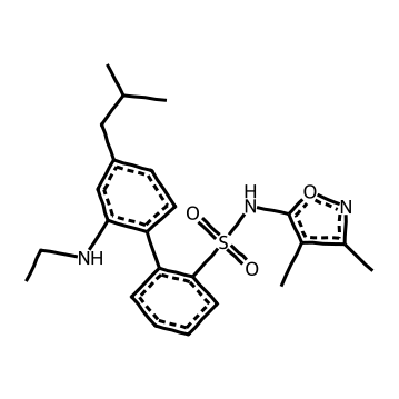 CCNc1cc(CC(C)C)ccc1-c1ccccc1S(=O)(=O)Nc1onc(C)c1C